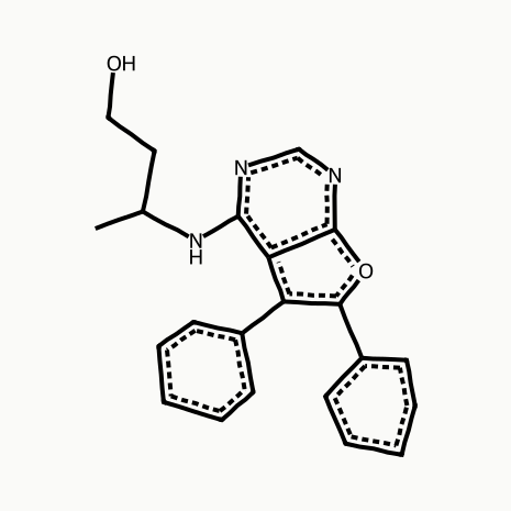 CC(CCO)Nc1ncnc2oc(-c3ccccc3)c(-c3ccccc3)c12